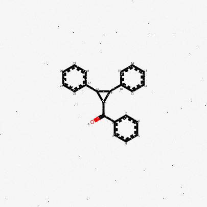 O=C(c1ccccc1)C1C(c2ccccc2)C1c1ccccc1